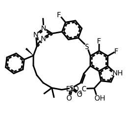 CCOC(=O)C(O)c1c[nH]c2c(F)c(F)c3c(c12)/C=C/S(=O)(=O)CC(C)(C)CCC[C@](C)(c1ccccc1)c1nc(n(C)n1)-c1cc(ccc1F)S3